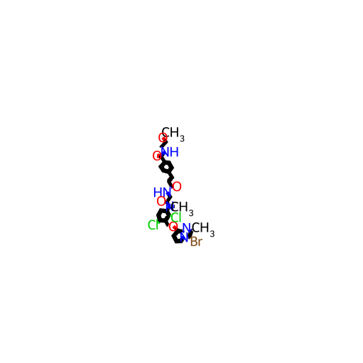 COCCNC(=O)c1ccc(C=CC(=O)NCC(=O)N(C)c2ccc(Cl)c(COc3cccn4c(Br)c(C)nc34)c2Cl)cc1